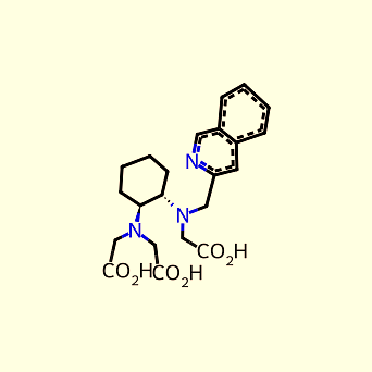 O=C(O)CN(CC(=O)O)[C@H]1CCCC[C@@H]1N(CC(=O)O)Cc1cc2ccccc2cn1